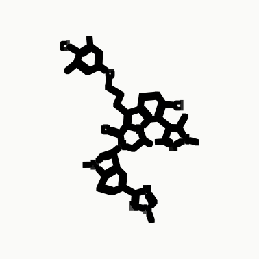 Cc1cc(OCCCc2c3n(c4c(-c5c(C)nn(C)c5C)c(Cl)ccc24)C(C)CN(c2cn(C)c4ccc(-c5ncn(C)n5)cc24)C3=O)cc(C)c1Cl